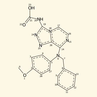 COc1ccc(N(Cc2ccccc2)c2nccn3c(NC(=O)O)nnc23)cc1